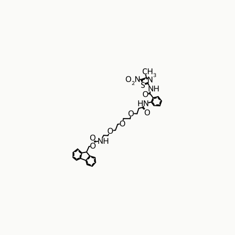 Cc1nc(NC(=O)c2ccccc2NC(=O)CCOCCOCCOCCNC(=O)OCC2c3ccccc3-c3ccccc32)sc1[N+](=O)[O-]